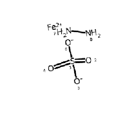 NN.O=S(=O)([O-])[O-].[Fe+2]